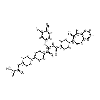 CN(O)C(=O)CN1CCC(N2CCN(C(=O)[C@@H](Cc3ccc(O)c(Br)c3)OC(=O)N3CCC(N4CCc5ccccc5NC4=O)CC3)CC2)CC1